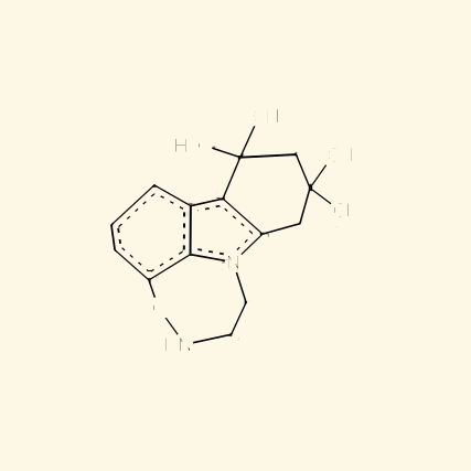 CC1(C)Cc2c(c3cccc4c3n2CCNC4)C(C)(C)C1